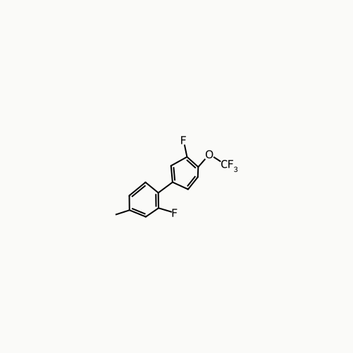 Cc1ccc(-c2ccc(OC(F)(F)F)c(F)c2)c(F)c1